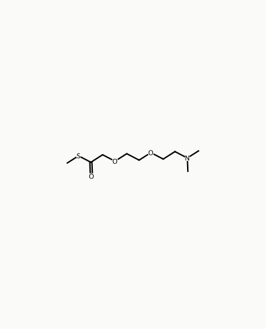 CSC(=O)COCCOCCN(C)C